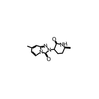 C=C1CCC(n2nc3cc(C)ccn3c2=O)C(=O)N1